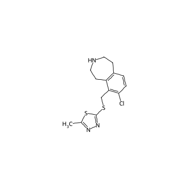 Cc1nnc(SCc2c(Cl)ccc3c2CCNCC3)s1